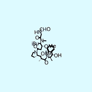 CCC(C)C([C@@H](CC(=O)N1CCC[C@H]1[C@H](OC)[C@@H](C)C(=O)N[C@H](C)[C@@H](O)c1ccccc1)OC)N(C)C(=O)CNC=O